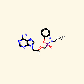 CCOC(=O)CNP(=O)(CO[C@H](C)Cn1cnc2c(N)ncnc21)Oc1ccccc1